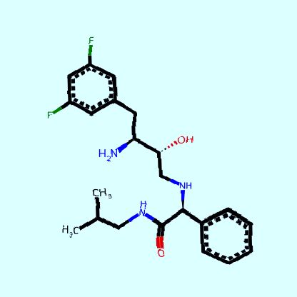 CC(C)CNC(=O)[C@@H](NC[C@@H](O)[C@@H](N)Cc1cc(F)cc(F)c1)c1ccccc1